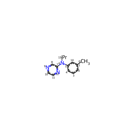 Cc1cccc(N(c2cnccn2)C(C)C)c1